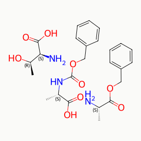 C[C@@H](O)[C@H](N)C(=O)O.C[C@H](N)C(=O)OCc1ccccc1.C[C@H](NC(=O)OCc1ccccc1)C(=O)O